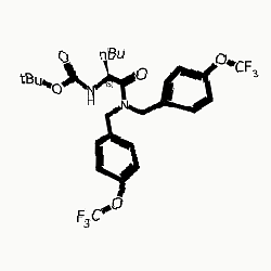 [CH2]CCC[C@H](NC(=O)OC(C)(C)C)C(=O)N(Cc1ccc(OC(F)(F)F)cc1)Cc1ccc(OC(F)(F)F)cc1